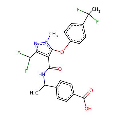 CC(NC(=O)c1c(C(F)F)nn(C)c1Oc1ccc(C(C)(F)F)cc1)c1ccc(C(=O)O)cc1